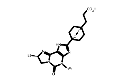 CCCN1C(=O)N2C[C@@H](CC)N=C2c2[nH]c(C34CCC(CCC(=O)O)(CC3)CC4)nc21